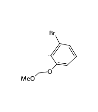 COCOc1[c]c(Br)ccc1